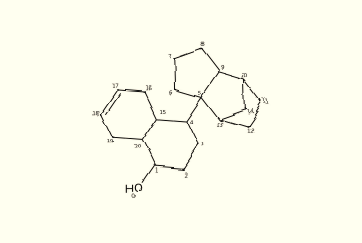 OC1CCC(C23CCCC2C2CCC3C2)C2CC=CCC12